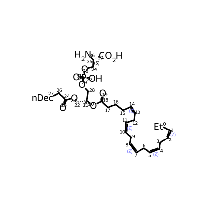 CC/C=C\C/C=C\C/C=C\C/C=C\C/C=C\CCCC(=O)O[C@H](COC(=O)CCCCCCCCCCC)COP(=O)(O)OC[C@H](N)C(=O)O